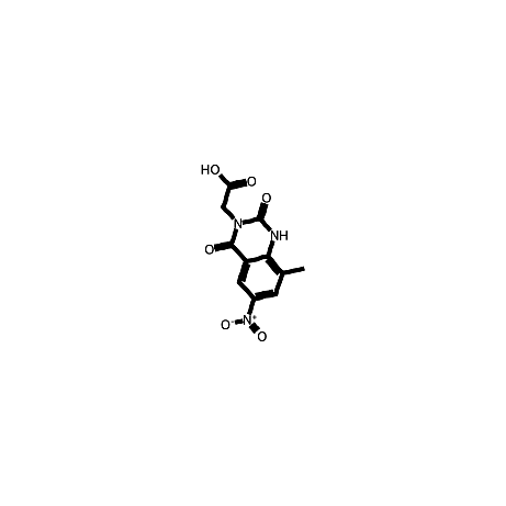 Cc1cc([N+](=O)[O-])cc2c(=O)n(CC(=O)O)c(=O)[nH]c12